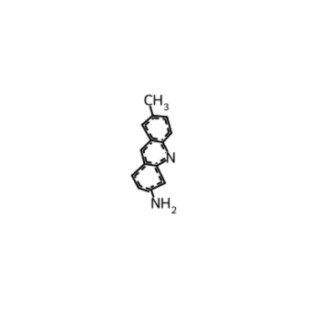 Cc1ccc2nc3cc(N)ccc3cc2c1